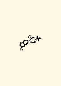 CC(C)(C)N1CCN(c2ccc3ccc(Br)cc3c2)C(=O)C1